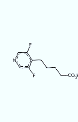 O=C(O)CCCCc1c(F)cncc1F